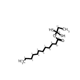 CCCCCCCCCCCC(=O)OC(S)(S)CC